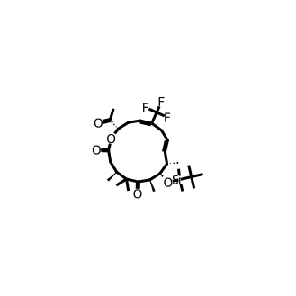 CC(=O)[C@@H]1C/C=C(/C(F)(F)F)C/C=C/[C@H](C)[C@H](O[Si](C)(C)C(C)(C)C)[C@@H](C)C(=O)C(C)(C)[C@@H](C)CC(=O)O1